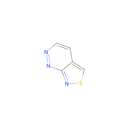 c1cc2csnc2nn1